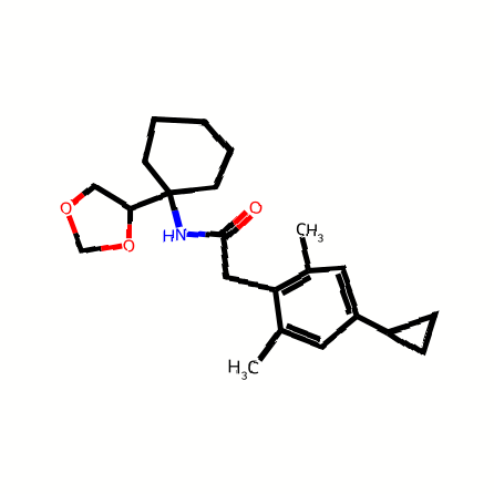 Cc1cc(C2CC2)cc(C)c1CC(=O)NC1(C2COCO2)CCCCC1